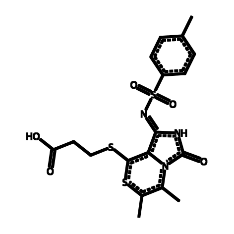 Cc1ccc(S(=O)(=O)N=c2[nH]c(=O)n3c(C)c(C)sc(SCCC(=O)O)c2-3)cc1